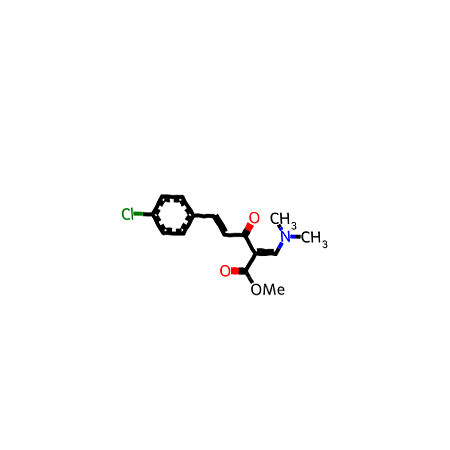 COC(=O)/C(=C/N(C)C)C(=O)/C=C/c1ccc(Cl)cc1